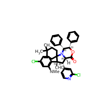 CNc1cc(Cl)ccc1[C@@]1(C=O)[C@@H](c2ccnc(Cl)c2)[C@@H]2C(=O)O[C@@H](c3ccccc3)[C@@H](c3ccccc3)N2C12CCC(C)(C)CC2